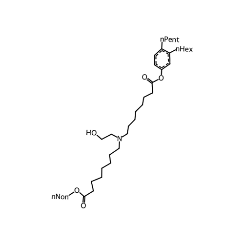 CCCCCCCCCOC(=O)CCCCCCCN(CCO)CCCCCCCC(=O)Oc1ccc(CCCCC)c(CCCCCC)c1